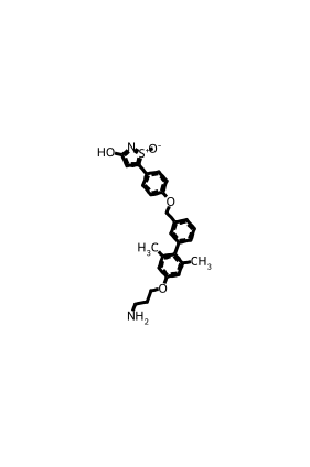 Cc1cc(OCCCN)cc(C)c1-c1cccc(COc2ccc(-c3cc(O)n[s+]3[O-])cc2)c1